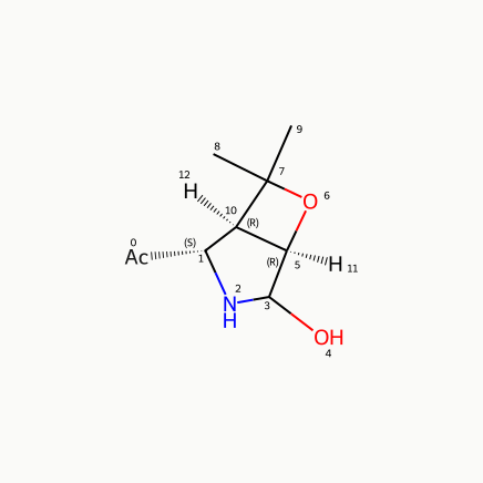 CC(=O)[C@H]1NC(O)[C@@H]2OC(C)(C)[C@H]12